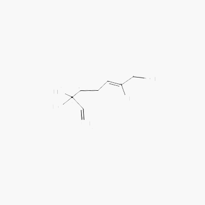 C=CC(C)(O)CC/C=C(\C)CO